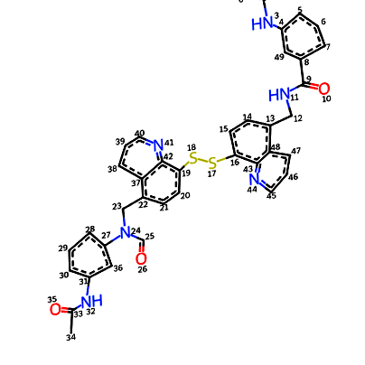 CC(=O)Nc1cccc(C(=O)NCc2ccc(SSc3ccc(CN(C=O)c4cccc(NC(C)=O)c4)c4cccnc34)c3ncccc23)c1